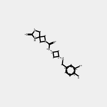 O=C1NC2(CO1)CN(C(=O)O[C@H]1C[C@@H](OCc3ccc(F)c(F)c3)C1)C2